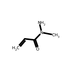 C=CC(=O)N(C)N